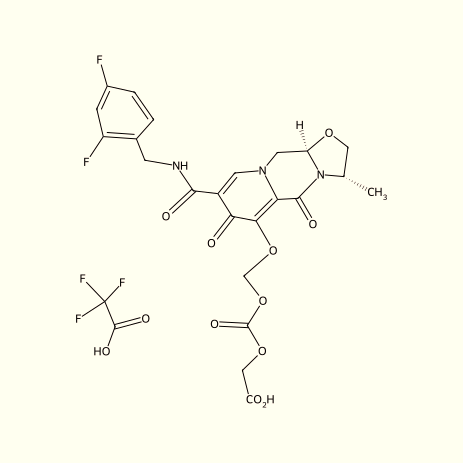 C[C@H]1CO[C@@H]2Cn3cc(C(=O)NCc4ccc(F)cc4F)c(=O)c(OCOC(=O)OCC(=O)O)c3C(=O)N12.O=C(O)C(F)(F)F